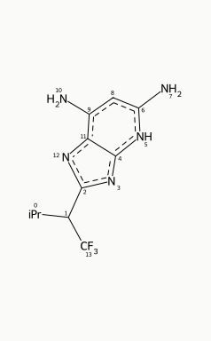 CC(C)C(c1nc2[nH]c(N)cc(N)c-2n1)C(F)(F)F